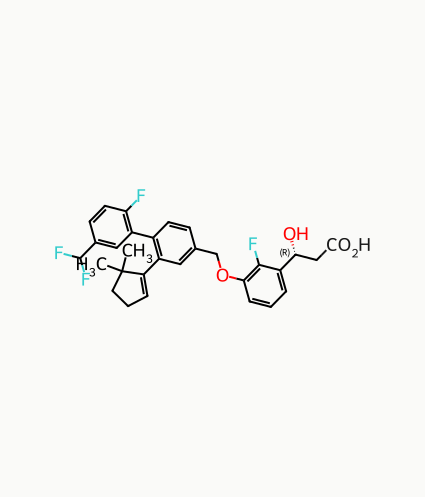 CC1(C)CCC=C1c1cc(COc2cccc([C@H](O)CC(=O)O)c2F)ccc1-c1cc(C(F)F)ccc1F